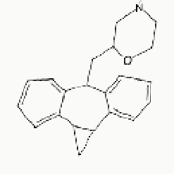 CN1CCOC(CC2c3ccccc3C3CC3c3ccccc32)C1